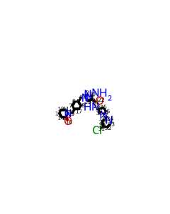 Nc1nn(Cc2ccc(Cn3ccccc3=O)cc2)cc1C(=O)N[C@H]1CCN(c2cc(Cl)ccn2)C1